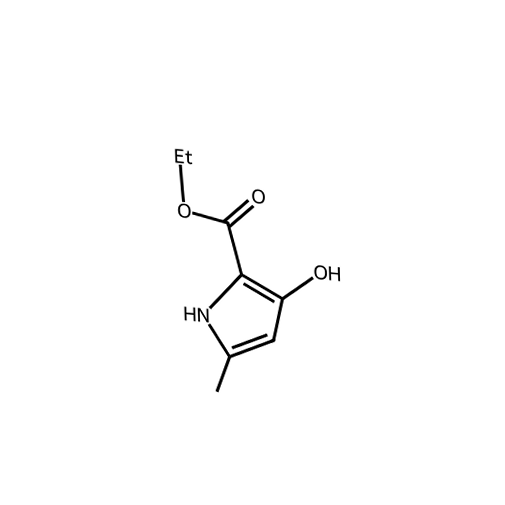 CCOC(=O)c1[nH]c(C)cc1O